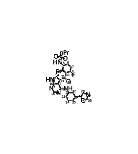 CCCS(=O)(=O)Nc1ccc(F)c(C(=O)c2c[nH]c3ncnc(Nc4cccc(-c5cnco5)c4)c23)c1F